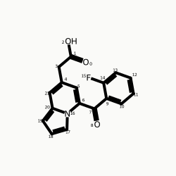 O=C(O)Cc1cc(C(=O)c2ccccc2F)n2cccc2c1